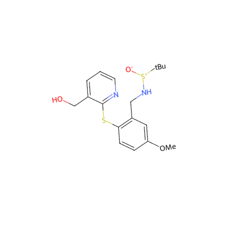 COc1ccc(Sc2ncccc2CO)c(CN[S+]([O-])C(C)(C)C)c1